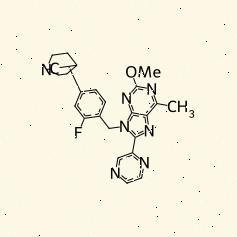 COc1nc(C)c2nc(-c3cnccn3)n(Cc3ccc(C4CN5CCC4CC5)cc3F)c2n1